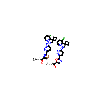 COC(=O)c1cnc(-c2ccc(NCC3(c4ncccc4F)CCC3)nn2)o1.COC(=O)c1csc(-c2ccc(NCC3(c4ncccc4F)CCC3)nn2)n1